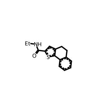 CCNC(=O)c1cc2c(s1)-c1ccccc1CC2